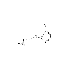 OCCOn1nccc1O